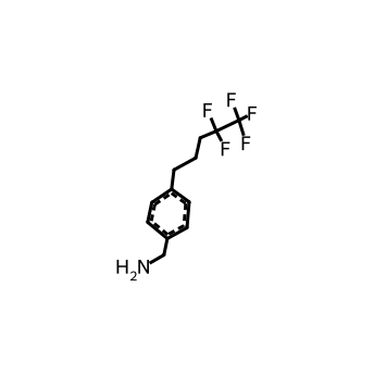 NCc1ccc(CCCC(F)(F)C(F)(F)F)cc1